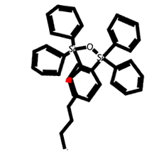 [CH2]CCCCCC[Si](O[Si](c1ccccc1)(c1ccccc1)c1ccccc1)(c1ccccc1)c1ccccc1